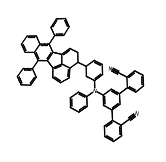 N#Cc1ccccc1-c1cc(-c2ccccc2C#N)cc(N(C2=CC=CC(C3CC=C4c5c(cccc53)-c3c4c(-c4ccccc4)c4ccccc4c3-c3ccccc3)C2)c2ccccc2)c1